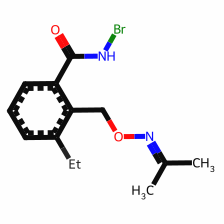 CCc1cccc(C(=O)NBr)c1CON=C(C)C